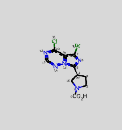 O=C(O)N1CC[C@H](c2nc(Br)c3c(Cl)ncnn23)C1